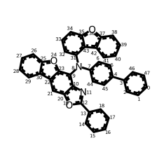 c1ccc(-c2ccc(N(c3c4nc(-c5ccccc5)oc4cc4c3oc3ccccc34)c3cccc4oc5ccccc5c34)cc2)cc1